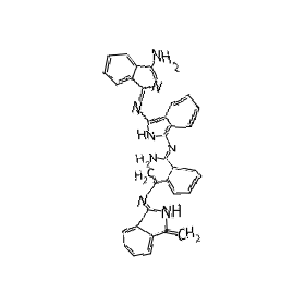 C=C(/N=C1\NC(=C)c2ccccc21)c1ccccc1/C(N)=N/c1[nH]c(/N=C2\N=C(N)c3ccccc32)c2ccccc12